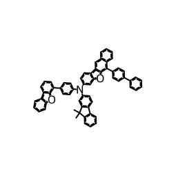 CC1(C)c2ccccc2-c2ccc(N(c3ccc(-c4cccc5c4oc4ccccc45)cc3)c3ccc4c(c3)oc3c(-c5ccc(-c6ccccc6)cc5)c5ccccc5cc34)cc21